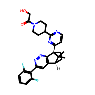 CC1(C)[C@H]2CC[C@@]1(c1ccnc(C3CCN(C(=O)CO)CC3)n1)c1nnc(-c3c(F)cccc3F)cc12